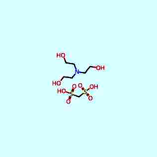 O=S(=O)(O)CS(=O)(=O)O.OCCN(CCO)CCO